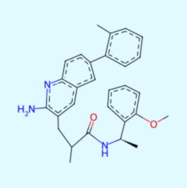 COc1ccccc1[C@@H](C)NC(=O)C(C)Cc1cc2cc(-c3ccccc3C)ccc2nc1N